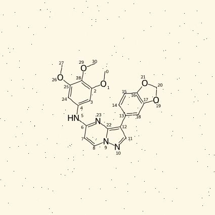 COc1cc(Nc2ccn3ncc(-c4ccc5c(c4)OCO5)c3n2)cc(OC)c1OC